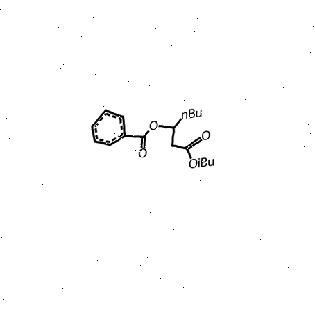 CCCCC(CC(=O)OCC(C)C)OC(=O)c1ccccc1